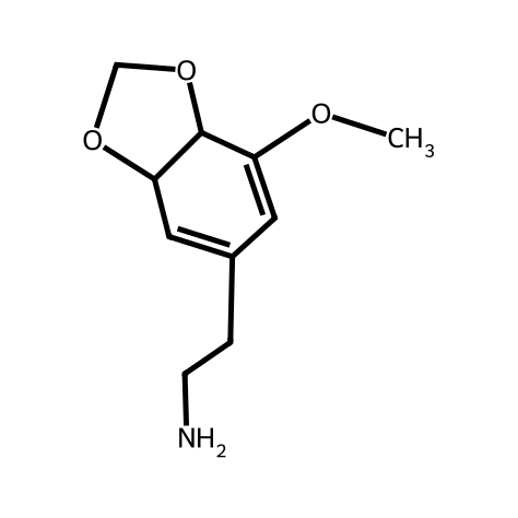 COC1=CC(CCN)=CC2OCOC12